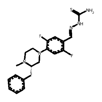 CN1CCN(c2cc(F)c(C=NNC(N)=S)cc2F)C[C@@H]1Cc1ccccc1